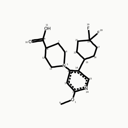 COc1cc(N2CCC(C(=O)O)CC2)c(C2CCC(F)(F)CC2)cn1